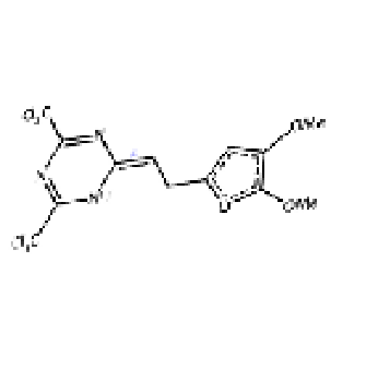 COc1cc(C/C=C2/N=C(C(Cl)(Cl)Cl)N=C(C(Cl)(Cl)Cl)N2)oc1OC